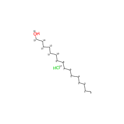 CCCCCCCCCCCCCCCCO.Cl